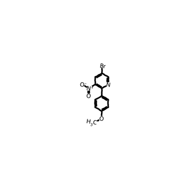 COc1ccc(-c2ncc(Br)cc2[N+](=O)[O-])cc1